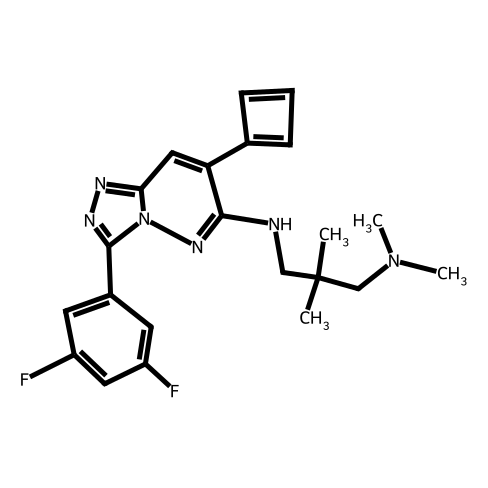 CN(C)CC(C)(C)CNc1nn2c(-c3cc(F)cc(F)c3)nnc2cc1C1=CC=C1